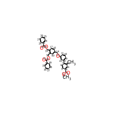 COC(=O)c1ccc(-c2cccc(OCc3ccc(COC(=O)c4ccccc4)c(COC(=O)c4ccccc4)c3)c2)c(C)c1